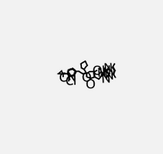 Cc1cc(C)n2nc(CC3=C(O)CC(CCc4ccc(C5(C#N)CC5)c(Cl)c4)(C4CCCC4)OC3=O)nc2n1